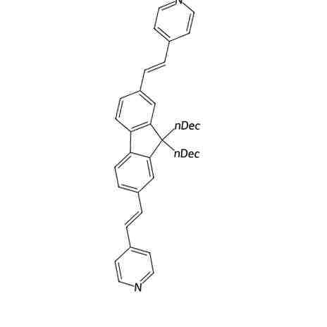 CCCCCCCCCCC1(CCCCCCCCCC)c2cc(C=Cc3ccncc3)ccc2-c2ccc(C=Cc3ccncc3)cc21